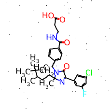 CC(CCC1(C)N=C(c2cc(F)cc(Cl)c2)C(=O)N1[C@H](C)c1ccc(C(=O)NCCC(=O)O)cc1)C(C)(C)C